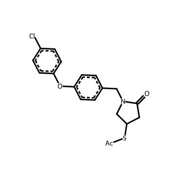 CC(=O)SC1CC(=O)N(Cc2ccc(Oc3ccc(Cl)cc3)cc2)C1